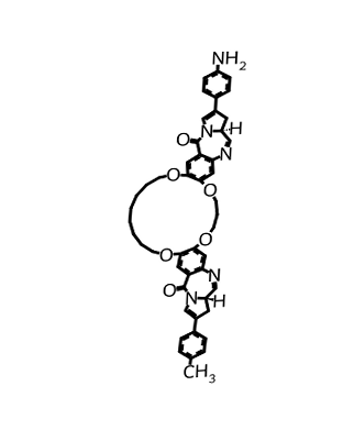 Cc1ccc(C2=CN3C(=O)c4cc5c(cc4N=C[C@@H]3C2)OCCCOc2cc3c(cc2OCCCCCCCCO5)C(=O)N2C=C(c4ccc(N)cc4)C[C@H]2C=N3)cc1